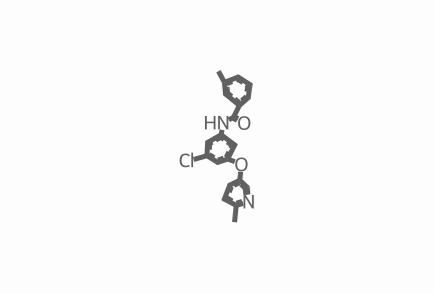 Cc1cccc(C(=O)Nc2cc(Cl)cc(Oc3ccc(C)nc3)c2)c1